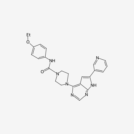 CCOc1ccc(NC(=O)N2CCN(c3ncnc4[nH]c(-c5cccnc5)cc34)CC2)cc1